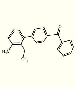 CCc1c(C)cccc1-c1ccc(C(=O)c2ccccc2)cc1